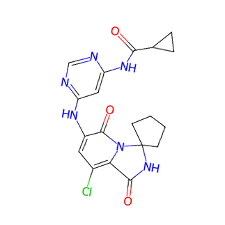 O=C1NC2(CCCC2)n2c1c(Cl)cc(Nc1cc(NC(=O)C3CC3)ncn1)c2=O